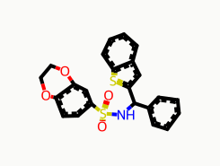 O=S(=O)(NC(c1ccccc1)c1cc2ccccc2s1)c1ccc2c(c1)OCCO2